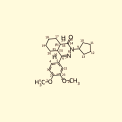 COc1ccc(C2=NN(C3CCCC3)C(=O)[C@@H]3CCCC[C@H]23)cc1OC